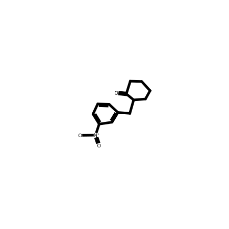 O=C1CCCCC1Cc1cccc([N+](=O)[O-])c1